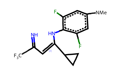 CNc1cc(F)c(N/C(=C\C(=N)C(F)(F)F)C2CC2)c(F)c1